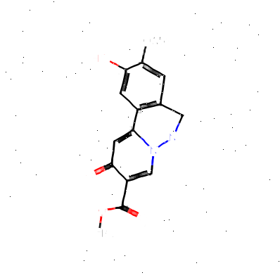 COc1cc2c(cc1O)-c1cc(=O)c(C(=O)OC(C)(C)C)cn1NC2